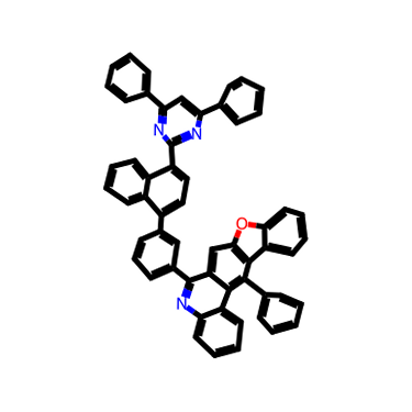 c1ccc(-c2cc(-c3ccccc3)nc(-c3ccc(-c4cccc(-c5nc6ccccc6c6c(-c7ccccc7)c7c(cc56)oc5ccccc57)c4)c4ccccc34)n2)cc1